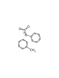 Cc1ccccc1.O=[SH](=O)Oc1ccccc1